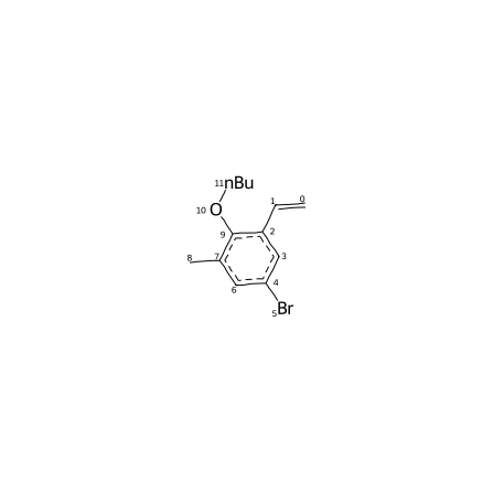 C=Cc1cc(Br)cc(C)c1OCCCC